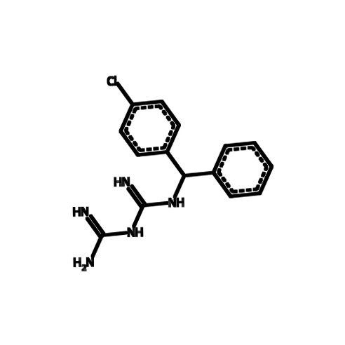 N=C(N)NC(=N)NC(c1ccccc1)c1ccc(Cl)cc1